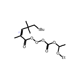 CCOC(C)OC(=O)OOOC(=O)/C(C)=C\C(C)(C)CC(C)(C)C